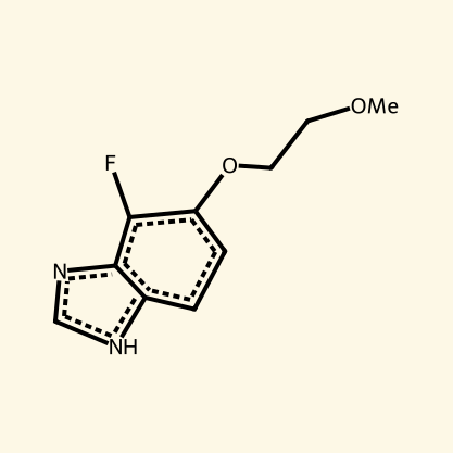 COCCOc1ccc2[nH]cnc2c1F